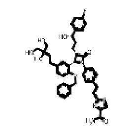 NC(=O)c1csc(CCc2ccc(N3C(=O)[C@H](CC[C@H](O)c4ccc(F)cc4)[C@H]3c3cc(CCC(O)(CO)CO)ccc3OCc3ccccc3)cc2)n1